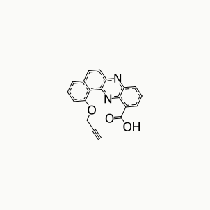 C#CCOc1cccc2ccc3nc4cccc(C(=O)O)c4nc3c12